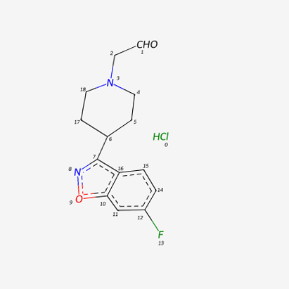 Cl.O=CCN1CCC(c2noc3cc(F)ccc23)CC1